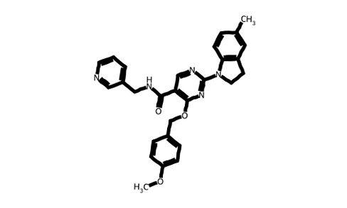 COc1ccc(COc2nc(N3CCc4cc(C)ccc43)ncc2C(=O)NCc2cccnc2)cc1